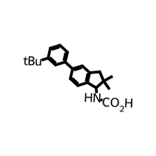 CC(C)(C)c1cccc(-c2ccc3c(c2)CC(C)(C)C3NC(=O)O)c1